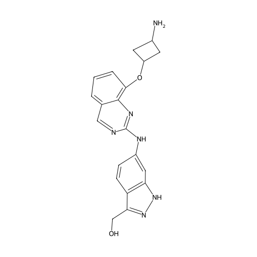 NC1CC(Oc2cccc3cnc(Nc4ccc5c(CO)n[nH]c5c4)nc23)C1